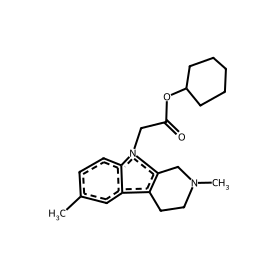 Cc1ccc2c(c1)c1c(n2CC(=O)OC2CCCCC2)CN(C)CC1